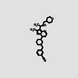 Cc1nn2c(C3CCCN(Cc4cccc(C#N)c4)C3)ccnc2c1C(C)NCC1CCOCC1